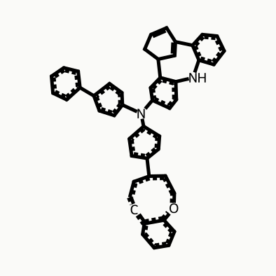 C1=CC2=CC(C1)c1cc(N(c3ccc(-c4ccccc4)cc3)c3ccc(-c4cccc5ccccc5occ4)cc3)ccc1Nc1ccccc12